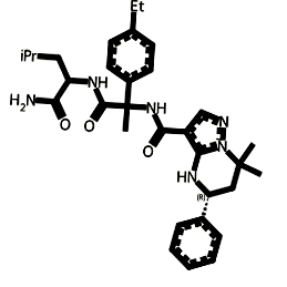 CCc1ccc(C(C)(NC(=O)c2cnn3c2N[C@@H](c2ccccc2)CC3(C)C)C(=O)NC(CC(C)C)C(N)=O)cc1